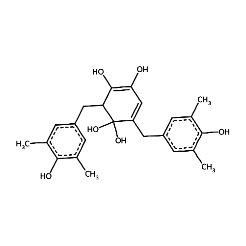 Cc1cc(CC2=CC(O)=C(O)C(Cc3cc(C)c(O)c(C)c3)C2(O)O)cc(C)c1O